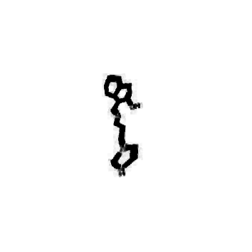 OC1=CCC2CCCCC2C1/C=N/CCCN1C=CNC1